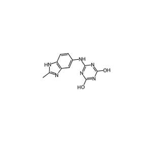 Cc1nc2cc(Nc3nc(O)nc(O)n3)ccc2[nH]1